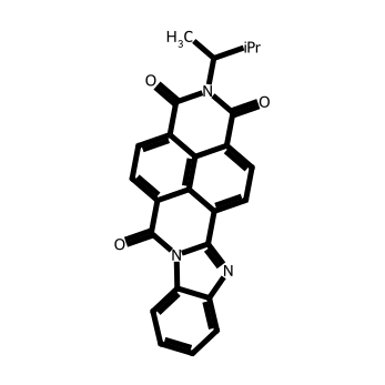 CC(C)C(C)N1C(=O)c2ccc3c(=O)n4c5ccccc5nc4c4ccc(c2c34)C1=O